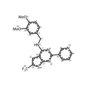 COc1ccc(CNc2nc(-c3cccnc3)nc3sc(C(F)(F)F)cc23)cc1OC